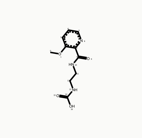 COc1cccnc1C(=O)NCCNC(=O)O